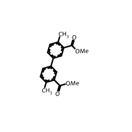 COC(=O)c1cc(-c2ccc(C)c(C(=O)OC)c2)ccc1C